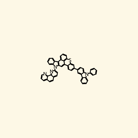 c1ccc(-n2c3ccccc3c3cc(-c4ccc5c(c4)Sc4cccc6c4c-5cc4c6c5ccccc5n4-c4ccc5ccc6cccnc6c5n4)ccc32)cc1